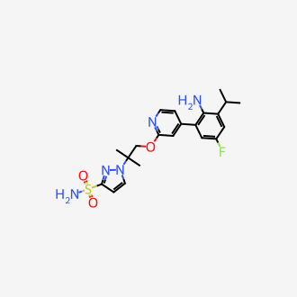 CC(C)c1cc(F)cc(-c2ccnc(OCC(C)(C)n3ccc(S(N)(=O)=O)n3)c2)c1N